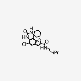 CC(C)CCNC(=O)c1cc2cc(Cl)c3c(c2o1)C1(CCCCC1)NC(=O)N3